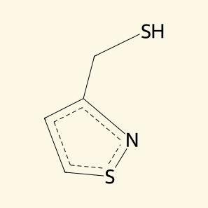 SCc1ccsn1